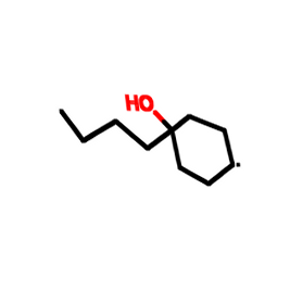 CCCCC1(O)CC[CH]CC1